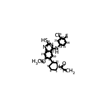 C=CC(=O)N1CCCC(c2cc3c(Nc4ccc(F)c(Cl)c4)nc(S)nc3cc2OC)C1